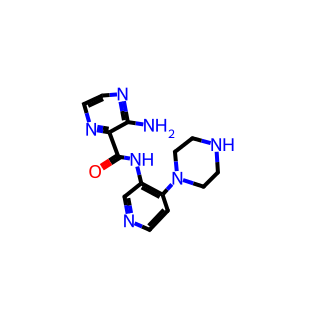 Nc1nccnc1C(=O)Nc1cnccc1N1CCNCC1